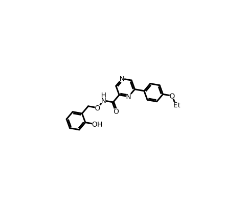 CCOc1ccc(-c2cncc(C(=O)NOCc3ccccc3O)n2)cc1